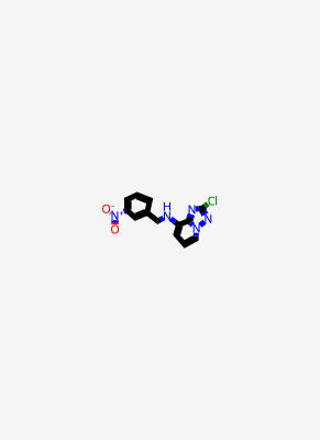 O=[N+]([O-])c1cccc(CNc2cccn3nc(Cl)nc23)c1